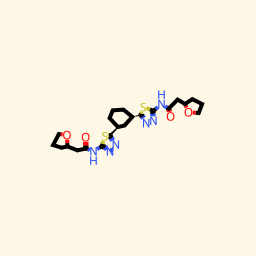 O=C(CC1CCCO1)Nc1nnc([C@H]2CCC[C@H](c3nnc(NC(=O)CC4CCCO4)s3)C2)s1